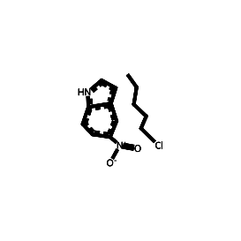 CCCCCCl.O=[N+]([O-])c1ccc2[nH]ccc2c1